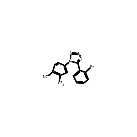 N#Cc1ccc(-n2nnnc2-c2ccccc2Br)cc1C(F)(F)F